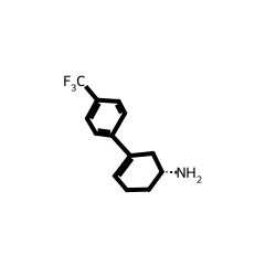 N[C@@H]1CCC=C(c2ccc(C(F)(F)F)cc2)C1